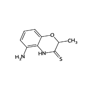 CC1Oc2cccc(N)c2NC1=S